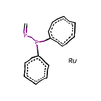 C=PP(c1ccccc1)c1ccccc1.[Ru]